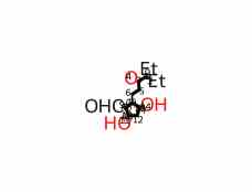 CCC(CC)C(=O)CC[C@@H]1[C@H](C=O)[C@@H](O)C[C@H]1O